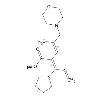 C=N/C(=C(\C=C(/C)CN1CCOCC1)C(=O)OC)N1CCCC1